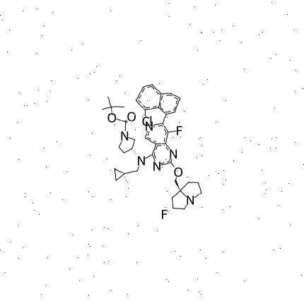 CC(C)(C)OC(=O)N1CC[C@@H](N(CC2CC2)c2nc(OC[C@@]34CCCN3C[C@H](F)C4)nc3c(F)c(-c4cccc5cccc(Cl)c45)ncc23)C1